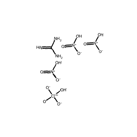 N=C(N)N.O=[N+]([O-])O.O=[N+]([O-])O.O=[N+]([O-])O.[O-][Cl+3]([O-])([O-])O